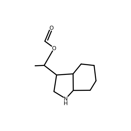 CC(OC=O)C1CNC2CCCCC21